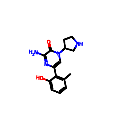 Cc1cccc(O)c1-c1cn(C2CCNC2)c(=O)c(N)n1